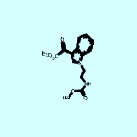 CCOC(=O)C(=O)c1cn(CCNC(=O)OC(C)(C)C)c2ccccc12